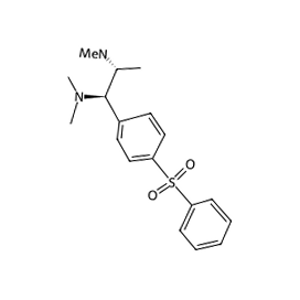 CN[C@H](C)[C@@H](c1ccc(S(=O)(=O)c2ccccc2)cc1)N(C)C